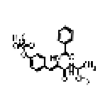 CC(C)NC(=O)/C(=C/c1ccc(OS(C)(=O)=O)cc1)NC(=O)c1ccccc1